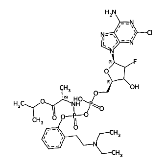 CCN(CC)CCc1ccccc1OP(=O)(N[C@@H](C)C(=O)OC(C)C)OP(=O)(O)OC[C@H]1O[C@@H](n2cnc3c(N)nc(Cl)nc32)C(F)C1O